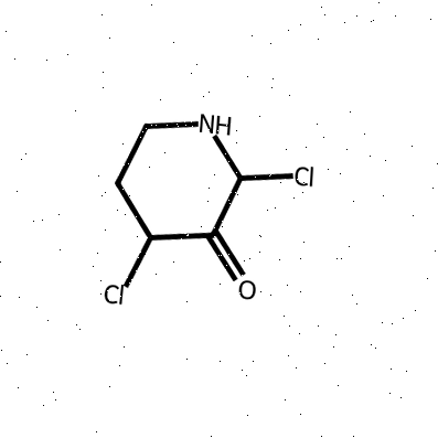 O=C1C(Cl)CCNC1Cl